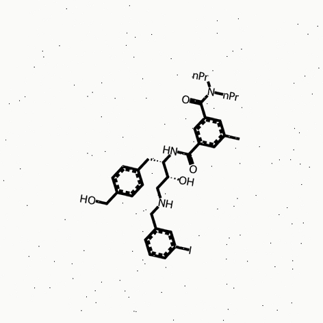 CCCN(CCC)C(=O)c1cc(C)cc(C(=O)N[C@@H](Cc2ccc(CO)cc2)[C@H](O)CNCc2cccc(I)c2)c1